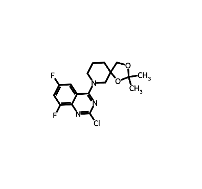 CC1(C)OCC2(CCCN(c3nc(Cl)nc4c(F)cc(F)cc34)C2)O1